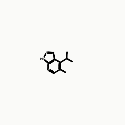 Cc1cnc2[nH]ncc2c1C(C)C